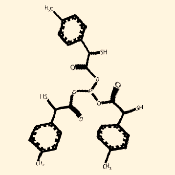 Cc1ccc(C(S)C(=O)OP(OC(=O)C(S)c2ccc(C)cc2)OC(=O)C(S)c2ccc(C)cc2)cc1